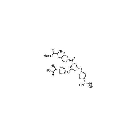 CC(C)(C)OC(=O)C(N)CC1CCN(C(=O)c2cc(Oc3ccc(C(=N)NO)cc3)cc(Oc3ccc(C(=N)NO)cc3)c2)CC1